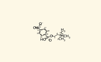 C[N+](C)(C)CCOP(=O)(O)c1ccc([N+](=O)[O-])cc1